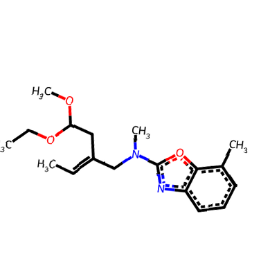 C/C=C(\CC(OC)OCC)CN(C)c1nc2cccc(C)c2o1